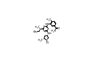 CCN1C[C@@H](Nc2nc(Nc3cc(C(N)=O)ccc3C)nc(N(C)CC(C)(C)C)n2)C[C@H]1C